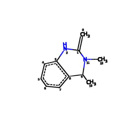 C=C1Nc2ccccc2C(C)N1C